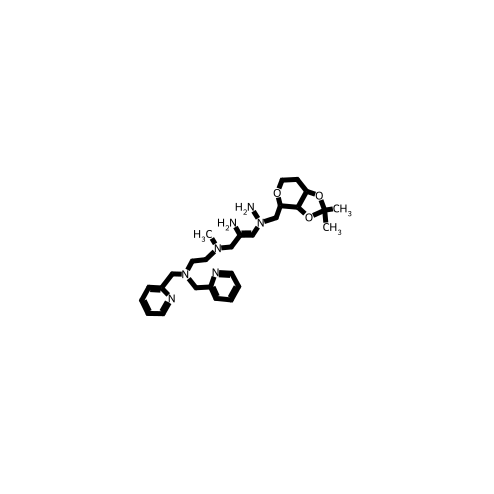 CN(CCN(Cc1ccccn1)Cc1ccccn1)C/C(N)=C/N(N)CC1OCCC2OC(C)(C)OC12